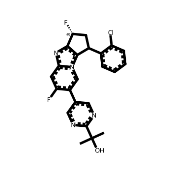 CC(C)(O)c1ncc(-c2cn3c4c(nc3cc2F)[C@H](F)CC4c2ccccc2Cl)cn1